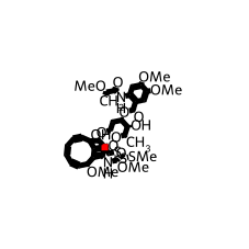 C=C(OC)C(=O)Nc1cc(OC)c(OC)cc1C(=O)O[C@@H]1CC(O[C@@H]2C(=O)C(NC(=O)OC)=C3/C(=C\CSSSC)[C@]2(O)C#C/C=C\C#C[C@@H]3OC)O[C@H](C)[C@@H]1O